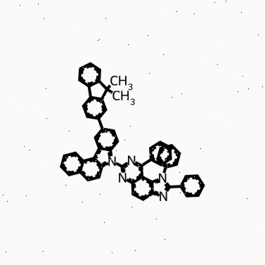 CC1(C)c2ccccc2-c2ccc(-c3ccc4c(c3)c3c5ccccc5ccc3n4-c3nc(-c4ccccc4)c4c(ccc5nc(-c6ccccc6)n(-c6ccccc6)c54)n3)cc21